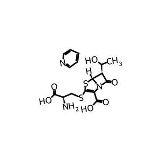 CC(O)[C@H]1C(=O)N2C(C(=O)O)=C(SC[C@@H](N)C(=O)O)S[C@H]12.c1ccncc1